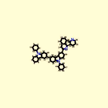 c1ccc(-n2c3ccccc3c3cc(-c4ccc5c(c4)c4cc(-c6cc7cccc8c7c(n6)-c6cccnc6-8)ccc4n5-c4ccccc4)ccc32)cc1